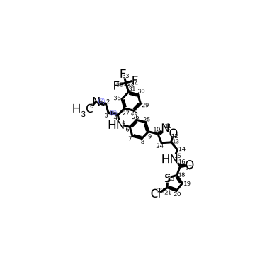 C/N=C\C=C(\Nc1ccc(C2=NOC(CNC(=O)c3ccc(Cl)s3)C2)cc1)c1cccc(C(F)(F)F)c1